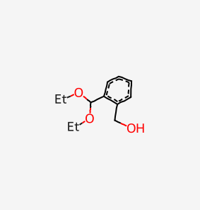 CCOC(OCC)c1ccccc1CO